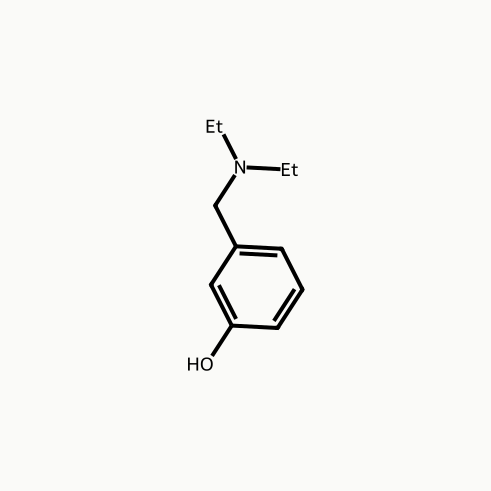 CCN(CC)Cc1cccc(O)c1